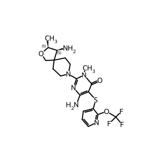 C[C@@H]1OCC2(CCN(c3nc(N)c(Sc4cccnc4OC(F)(F)F)c(=O)n3C)CC2)[C@@H]1N